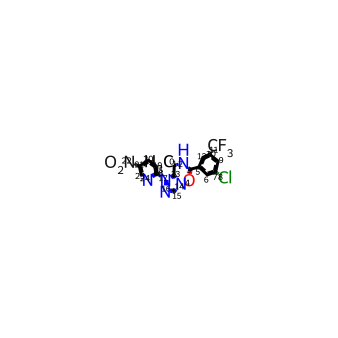 CC(NC(=O)c1cc(Cl)cc(C(F)(F)F)c1)c1ncnn1-c1ccc([N+](=O)[O-])cn1